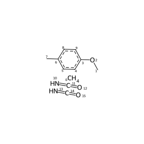 C.COc1ccc(C)cc1.N=C=O.N=C=O